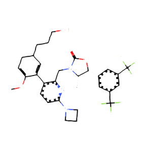 COC1=CCC(CCCO)C=C1c1ccc(N2CCC2)nc1CN1C(=O)O[C@H](c2cc(C(F)(F)F)cc(C(F)(F)F)c2)[C@@H]1C